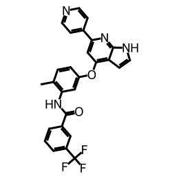 Cc1ccc(Oc2cc(-c3ccncc3)nc3[nH]ccc23)cc1NC(=O)c1cccc(C(F)(F)F)c1